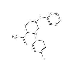 CC(=O)C1CCN(Cc2ccccc2)C[C@@H]1C1C=CC(Cl)=CC1